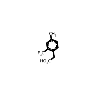 Cc1ccc(CC(=O)O)c(C(F)(F)F)c1